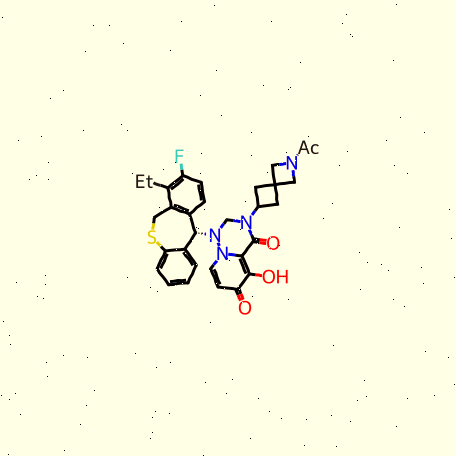 CCc1c(F)ccc2c1CSc1ccccc1[C@H]2N1CN(C2CC3(C2)CN(C(C)=O)C3)C(=O)c2c(O)c(=O)ccn21